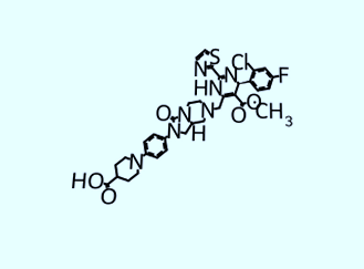 COC(=O)C1=C(CN2CCN3C(=O)N(c4ccc(N5CCC(C(=O)O)CC5)cc4)C[C@@H]3C2)NC(c2nccs2)=N[C@H]1c1ccc(F)cc1Cl